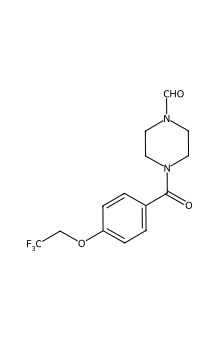 O=CN1CCN(C(=O)c2ccc(OCC(F)(F)F)cc2)CC1